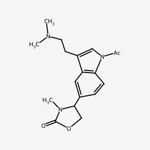 CC(=O)n1cc(CCN(C)C)c2cc(C3COC(=O)N3C)ccc21